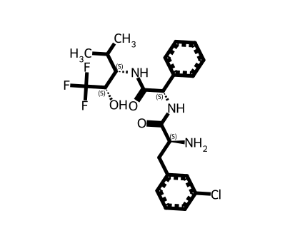 CC(C)[C@H](NC(=O)[C@@H](NC(=O)[C@@H](N)Cc1cccc(Cl)c1)c1ccccc1)[C@H](O)C(F)(F)F